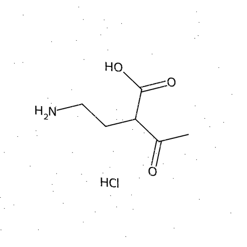 CC(=O)C(CCN)C(=O)O.Cl